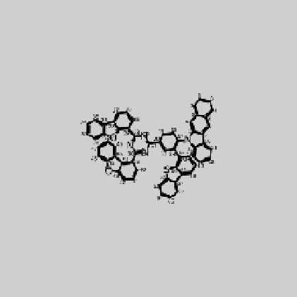 c1ccc2cc3c(cc2c1)c1ccccc1n3-c1ccc(-c2nc(-c3cccc4c3oc3ccccc34)nc(-c3cccc4oc5ccccc5c34)n2)cc1-c1cccc2c1sc1ccccc12